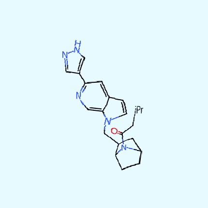 CC(C)CC(=O)N1C2CCC1C(Cn1ccc3cc(-c4cn[nH]c4)ncc31)C2